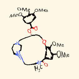 COc1cc(C(=O)O[C@@H]2CCCOc3cc(cc(OC)c3OC)C(=O)N(C)CCCN3CCCN(CC2)CC3)cc(OC)c1OC